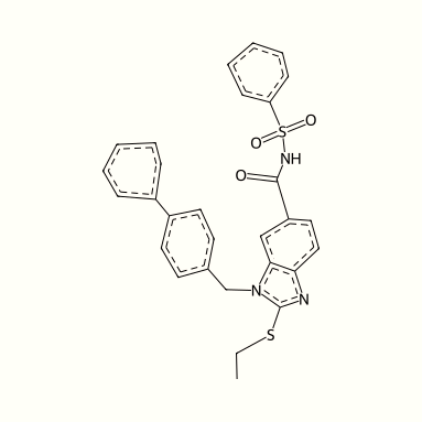 CCSc1nc2ccc(C(=O)NS(=O)(=O)c3ccccc3)cc2n1Cc1ccc(-c2ccccc2)cc1